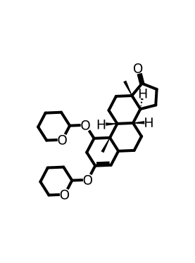 C[C@@]12C(C=C(OC3CCCCO3)CC1OC1CCCCO1)CC[C@@H]1[C@H]2CC[C@]2(C)C(=O)CC[C@@H]12